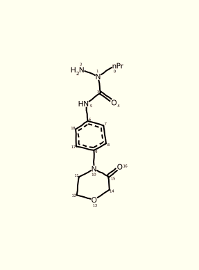 CCCN(N)C(=O)Nc1ccc(N2CCOCC2=O)cc1